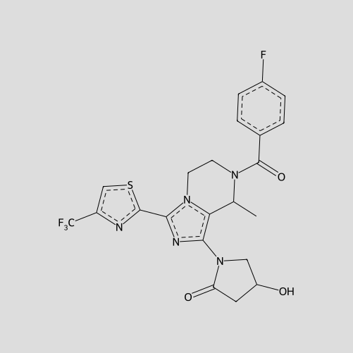 CC1c2c(N3CC(O)CC3=O)nc(-c3nc(C(F)(F)F)cs3)n2CCN1C(=O)c1ccc(F)cc1